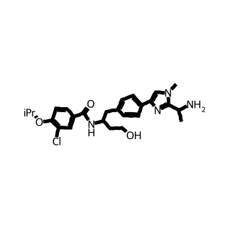 CC(C)Oc1ccc(C(=O)NC(CCO)Cc2ccc(-c3cn(C)c(C(C)N)n3)cc2)cc1Cl